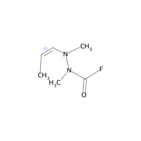 C/C=C\N(C)N(C)C(=O)F